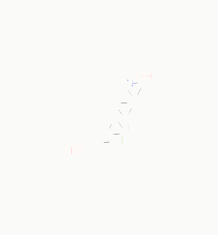 CC(O)CCCC=Cc1ccc(-c2ccc(-c3ccc(O)nc3)cc2)c(F)c1F